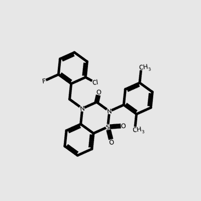 Cc1ccc(C)c(N2C(=O)N(Cc3c(F)cccc3Cl)c3ccccc3S2(=O)=O)c1